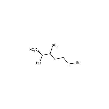 CCSCCC(N)[C@@H](O)C(=O)O